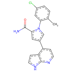 Cc1ccc(Cl)cc1-n1cc(-c2ccnc3[nH]ccc23)cc1C(N)=O